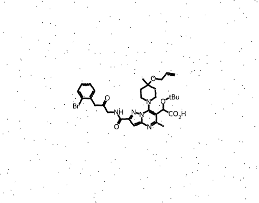 C=CCOC1(C)CCN(c2c(C(OC(C)(C)C)C(=O)O)c(C)nc3cc(C(=O)NCC(=O)Cc4ccccc4Br)nn23)CC1